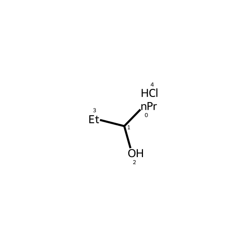 CCCC(O)CC.Cl